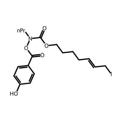 CCCN(OC(=O)c1ccc(O)cc1)C(=O)OCCCCC=CCI